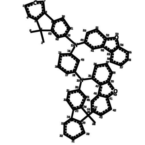 CC1(C)c2ccccc2-c2ccc(N(c3cccc(N(c4ccc5c(c4)C(C)(C)c4ccccc4-5)c4cccc5oc6ccccc6c45)c3)c3ccc4oc5ccccc5c4c3)cc21